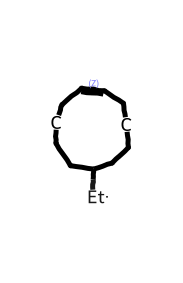 C[CH]C1CCCC/C=C\CCCC1